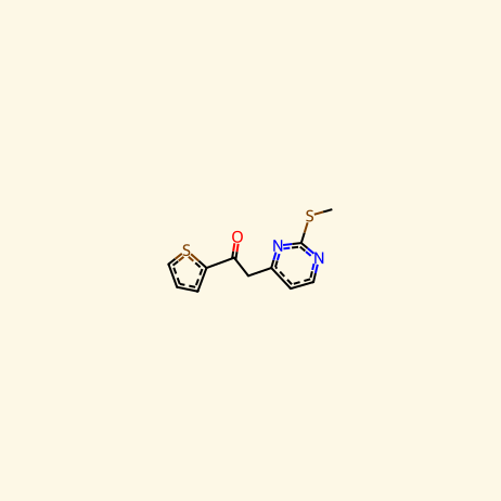 CSc1nccc(CC(=O)c2cccs2)n1